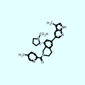 Cc1ccc(C(=O)N2CCc3cc(-c4cnc5[nH]cc(C)c5c4)cc([C@@H]4CCCN4C(=O)O)c3C2)nc1